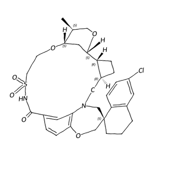 C[C@H]1CO[C@H]2C[C@@H]1OCCS(=O)(=O)NC(=O)c1ccc3c(c1)N(C[C@@H]1CC[C@H]12)C[C@@]1(CCCc2cc(Cl)ccc21)CO3